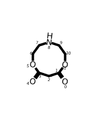 O=C1[CH]C(=O)OCCNCCO1